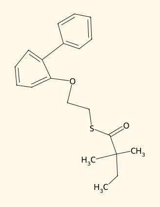 CCC(C)(C)C(=O)SCCOc1ccccc1-c1ccccc1